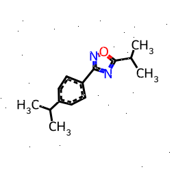 CC(C)c1ccc(-c2noc(C(C)C)n2)cc1